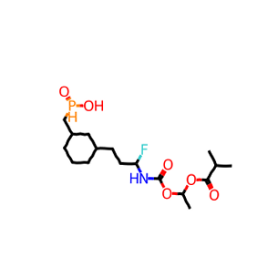 CC(OC(=O)NC(F)CCC1CCCC(C[PH](=O)O)C1)OC(=O)C(C)C